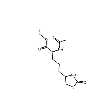 CCOC(=O)[C@H](CSCC1CSC(=O)N1)NC(C)=O